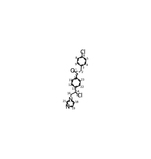 [O-][S+](Cc1ccc(Cl)cc1)c1ccc(C(Cl)Cn2ccnc2)cc1